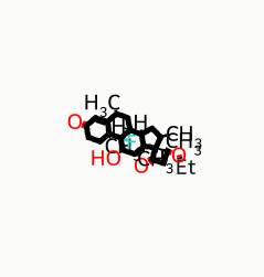 CCOC1(C)CC(=O)[C@]12[C@H](C)C[C@H]1[C@@H]3C[C@H](C)C4=CC(=O)CC[C@]4(C)[C@@]3(F)[C@@H](O)C[C@@]12C